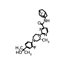 C[C@@H]1CN(c2ccc(C(C)(C)O)cc2F)CCN1c1nccc(C(=O)NC23CC4CC(CC2C4)C3)n1